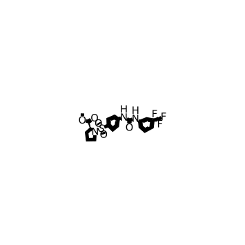 COC(=O)[C@@H]1CCCN1S(=O)(=O)c1ccc(NC(=O)Nc2cccc(C(F)(F)F)c2)cc1